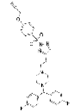 C#CCOc1ccc(S(=O)(=O)n2ncc(CCN3CCN(C(c4ccc(F)cc4)c4ccc(F)cc4)CC3)n2)cc1